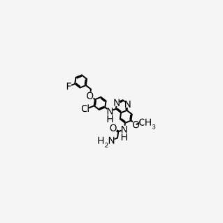 COc1cc2ncnc(Nc3ccc(OCc4cccc(F)c4)c(Cl)c3)c2cc1NC(=O)CN